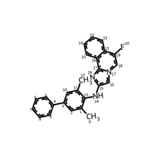 Cc1cc(-c2ccccc2)cc(C)c1Nc1cn2cc(F)c3ccccc3c2n1